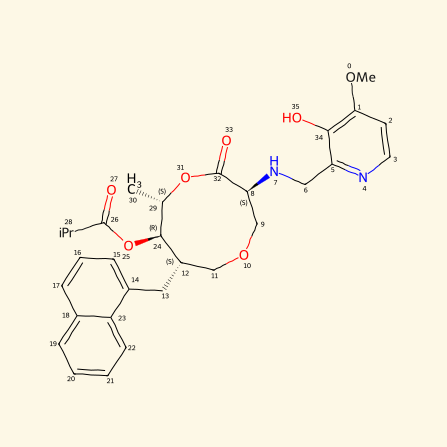 COc1ccnc(CN[C@H]2COC[C@H](Cc3cccc4ccccc34)[C@@H](OC(=O)C(C)C)[C@H](C)OC2=O)c1O